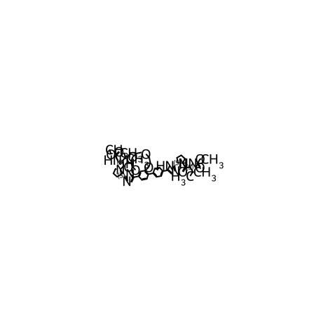 COC(=O)N[C@H](C(=O)N1CCC[C@H]1c1ncc(-c2ccc(-c3ccc(-c4cnc([C@@H]5CCCN5C(=O)[C@@H](NC(=O)OC)C(C)C)[nH]4)c4c3OCCOCCOCCO4)cc2)[nH]1)C(C)C